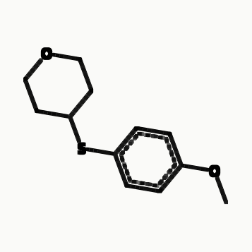 COc1ccc(SC2CCOCC2)cc1